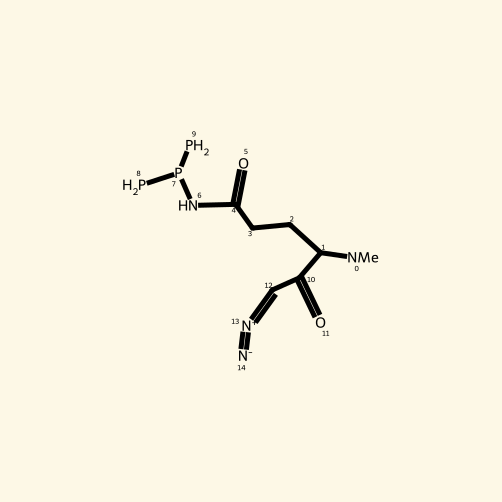 CNC(CCC(=O)NP(P)P)C(=O)C=[N+]=[N-]